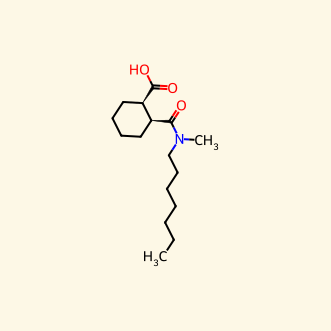 CCCCCCCN(C)C(=O)[C@H]1CCCC[C@H]1C(=O)O